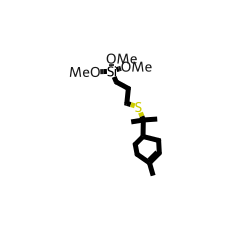 CO[Si](CCCSC(C)(C)C1CC=C(C)CC1)(OC)OC